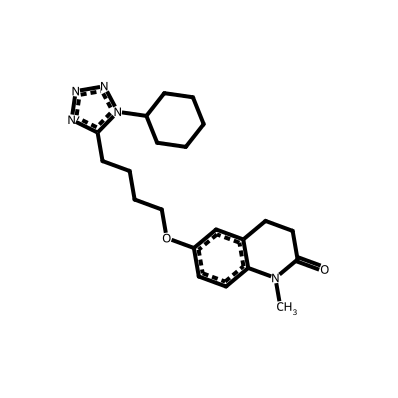 CN1C(=O)CCc2cc(OCCCCc3nnnn3C3CCCCC3)ccc21